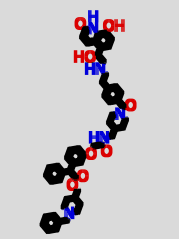 O=C(COc1cccc(C(C(=O)OCC2CCN(Cc3ccccc3)CC2)c2ccccc2)c1)NCC1CCN(C(=O)c2ccc(CCNCC(O)c3ccc(O)c4[nH]c(=O)ccc34)cc2)CC1